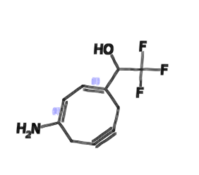 N/C1=C/C=C(/C(O)C(F)(F)F)CC#CC1